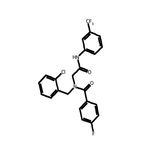 O=C(CN(Cc1ccccc1Cl)C(=O)c1ccc(F)cc1)Nc1cccc(C(F)(F)F)c1